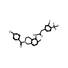 Cc1ccc2c(c1NC(=O)Cc1ccc(C(F)(F)F)c(F)c1)CCN(C(=O)c1ccc(Cl)cc1)C2